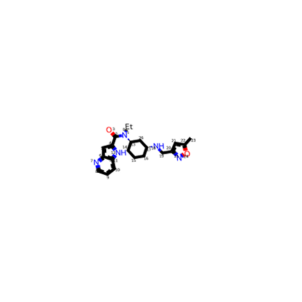 CCN(C(=O)c1cc2ncccc2[nH]1)[C@H]1CCC[C@@H](NCc2cc(C)on2)C1